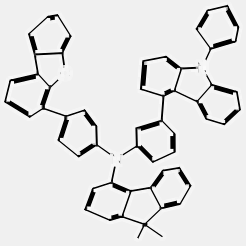 CC1(C)c2ccccc2-c2c(N(c3ccc(-c4cccc5c4oc4ccccc45)cc3)c3cccc(-c4cccc5c4c4ccccc4n5-c4ccccc4)c3)cccc21